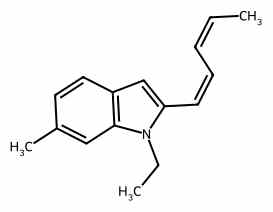 C/C=C\C=C/c1cc2ccc(C)cc2n1CC